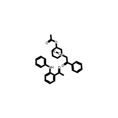 CC(=O)OC1C[N+]2(CC(=O)c3ccccc3)CCC1CC2.CC(=O)c1ccccc1Nc1ccccc1